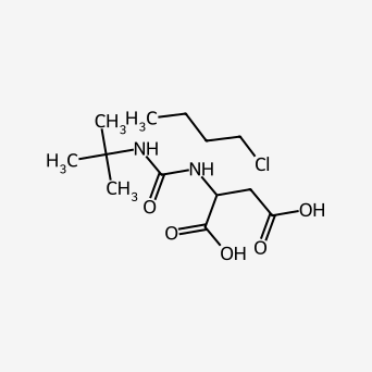 CC(C)(C)NC(=O)NC(CC(=O)O)C(=O)O.CCCCCl